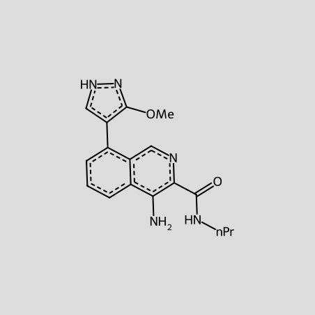 CCCNC(=O)c1ncc2c(-c3c[nH]nc3OC)cccc2c1N